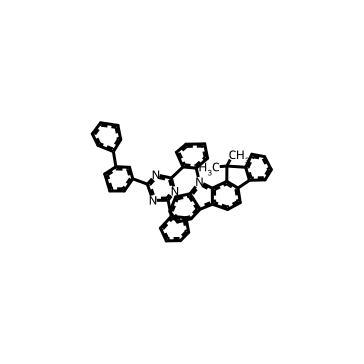 CC1(C)c2ccccc2-c2ccc3c4ccccc4n(-c4ccccc4-c4nc(-c5ccccc5)nc(-c5cccc(-c6ccccc6)c5)n4)c3c21